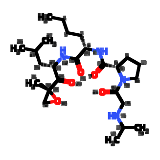 CCCC[C@H](NC(=O)[C@@H]1CCCN1C(=O)CNC(C)C)C(=O)N[C@@H](CC(C)C)C(=O)[C@@]1(C)CO1